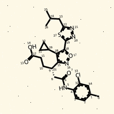 Cc1ccc(NC(=O)C[C@H](CCC(=O)O)c2noc(-c3nnc(CC(C)C)s3)c2C2CC2)c(Cl)c1